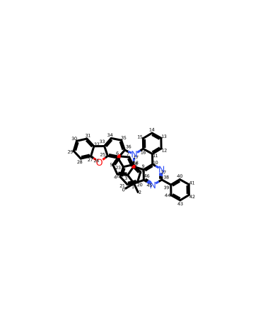 CC1(C)c2ccccc2-c2c(-c3ccccc3-n3c4ccccc4c4c5oc6ccccc6c5ccc43)nc(-c3ccccc3)nc21